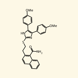 COc1ccc(-c2nc(SCCc3ccc4ccccc4c3C(N)=O)[nH]c2-c2ccc(OC)cc2)cc1